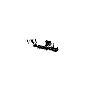 CN(C)CCCOC(=O)CCC1CCN(C2CCN(C(=O)[C@@H](Cc3cc(Cl)c(N)c(C(F)(F)F)c3)OC(=O)N3CCC(N4CCc5ccccc5NC4=O)CC3)CC2)CC1